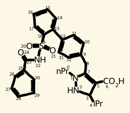 CCCN1NC(C(C)C)C(C(=O)O)=C1Cc1ccc(-c2ccccc2S(=O)(=O)NC(=O)c2ccccc2)cc1